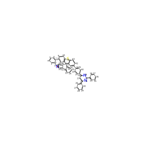 N#Cc1ccccc1-c1ccc2c(c1)C1(c3cc(-c4ccc(-c5cc(-c6ccccc6)nc(-c6ccccc6)n5)cc4)ccc3S2)c2ccccc2-c2ccccc21